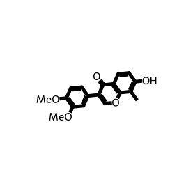 COc1ccc(-c2coc3c(C)c(O)ccc3c2=O)cc1OC